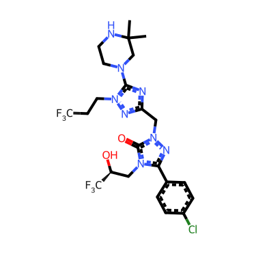 CC1(C)CN(c2nc(Cn3nc(-c4ccc(Cl)cc4)n(C[C@H](O)C(F)(F)F)c3=O)nn2CCC(F)(F)F)CCN1